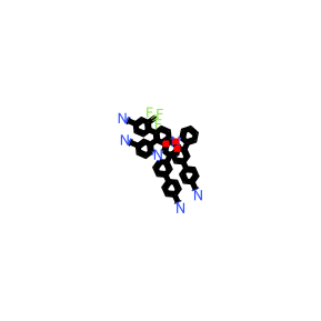 N#Cc1ccc(-c2ccc3c(c2)c2ccccc2n3-c2ccc(-c3ccc(C#N)cc3C(F)(F)F)c(-c3cc(C#N)ccc3-n3c4ccccc4c4cc(-c5ccc(C#N)cc5)ccc43)c2)cc1